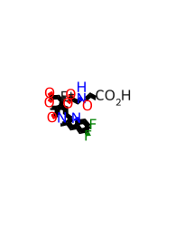 CCC1(OC(=O)CNC(=O)CCC(=O)O)CC(=O)OCc2c1cc1n(c2=O)Cc2cc3cc(F)c(F)cc3nc2-1